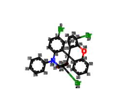 Brc1ccc2c(c1)C1(c3ccccc3Oc3c(Br)cccc31)c1cc(Br)ccc1N2c1ccccc1